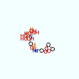 CN(/N=C/c1ccc(OC2Oc3ccccc3-c3ccccc3O2)cc1)[PH](=S)Oc1ccc(CCN(C[PH](O)(O)O)C[PH](O)(O)O)cc1